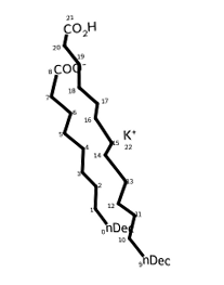 CCCCCCCCCCCCCCCCCC(=O)[O-].CCCCCCCCCCCCCCCCCCCCCC(=O)O.[K+]